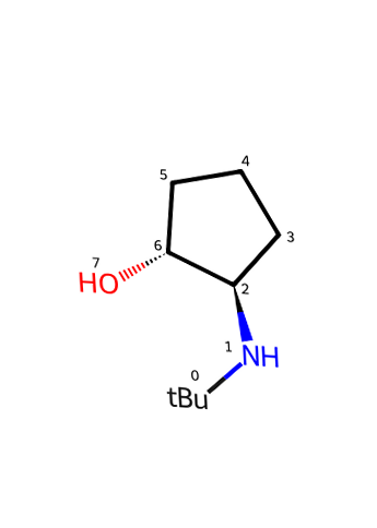 CC(C)(C)N[C@@H]1CCC[C@H]1O